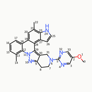 COc1cnc(N2CCc3nn4c5c(C)cccc5c5cc(C)c6[nH]ccc6c5c4c3C2)nc1